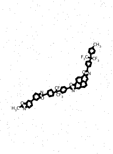 Cc1ccc(C(c2ccc(-c3nc4cc5ccc6cc7nc(-c8ccc(C(c9ccc(-c%10nc%11ccc(-c%12ccc%13nc(C)oc%13c%12)cc%11o%10)cc9)(C(F)(F)F)C(F)(F)F)cc8)oc7c7ccc(c4o3)c5c67)cc2)(C(F)(F)F)C(F)(F)F)cc1